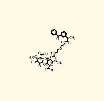 CO[C@@H]1OC(C(=O)O)[C@@H](OC2O[C@@H](C(=O)O)[C@@H](OC)C(O)C2O)C(O)[C@@H]1OC(=O)NCCOCCNC(=O)C(C)c1cccc(C(=O)c2ccccc2)c1